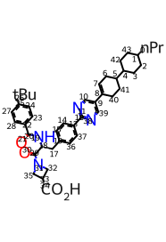 CCCC1CCC(C2CC=C(c3cnc(-c4ccc(C[C@H](NC(=O)c5ccc(C(C)(C)C)cc5)C(=O)N5CC(C(=O)O)C5)cc4)nc3)CC2)CC1